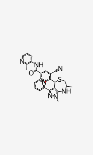 Cc1ncccc1NC(=O)c1ccc(C2SCC(C)Nc3c2c(-c2ccccn2)nn3C)c(C#N)c1